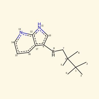 CC(C)(C)C(C)(C)CBc1c[nH]c2ncccc12